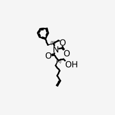 C=CCCC[C@H](CO)C(=O)N1C(=O)OC[C@@H]1Cc1ccccc1